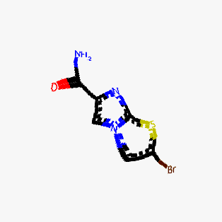 NC(=O)c1cn2cc(Br)sc2n1